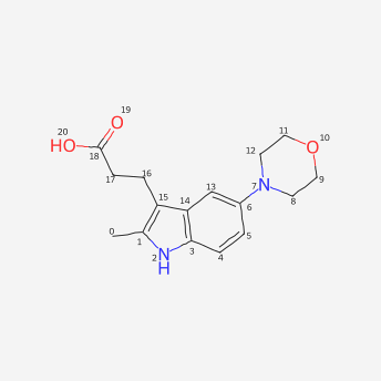 Cc1[nH]c2ccc(N3CCOCC3)cc2c1CCC(=O)O